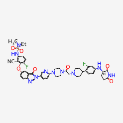 CCN(C)S(=O)(=O)Nc1ccc(F)c(Oc2ccc3ncn(-c4ccc(N5CCN(C(=O)CN6CCC(c7ccc(N[C@@H]8CCC(=O)NC8=O)cc7F)CC6)CC5)nc4)c(=O)c3c2)c1C#N